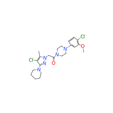 COc1cc(N2CCN(C(=O)Cn3nc(N4CCCCC4)c(Cl)c3C)CC2)ccc1Cl